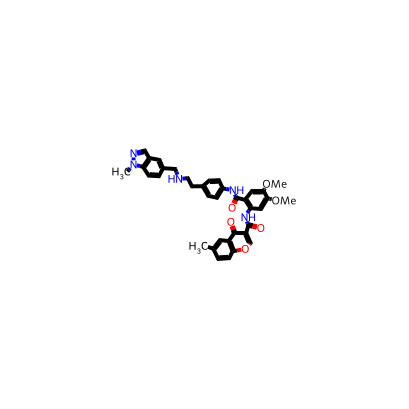 COc1cc(NC(=O)c2coc3ccc(C)cc3c2=O)c(C(=O)Nc2ccc(CCNCc3ccc4c(cnn4C)c3)cc2)cc1OC